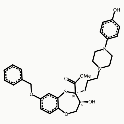 COC(=O)[C@]1(CCCN2CCN(c3ccc(O)cc3)CC2)Sc2cc(OCc3ccccc3)ccc2OC[C@@H]1O